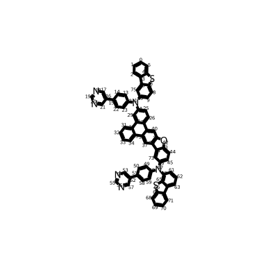 c1ccc2c(c1)sc1ccc(N(c3ccc(-c4cncnc4)cc3)c3ccc4c(c3)c3ccccc3c3cc5c(cc43)oc3ccc(N(c4ccc(-c6cncnc6)cc4)c4cccc6c4sc4ccccc46)cc35)cc12